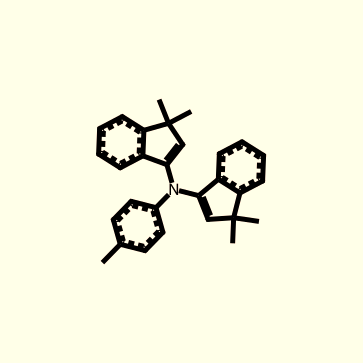 Cc1ccc(N(C2=CC(C)(C)c3ccccc32)C2=CC(C)(C)c3ccccc32)cc1